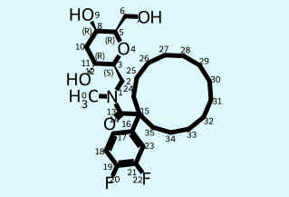 CN(C[C@@H]1O[C@H](CO)[C@H](O)C[C@H]1O)C(=O)C1(c2ccc(F)c(F)c2)CCCCCCCCCCCC1